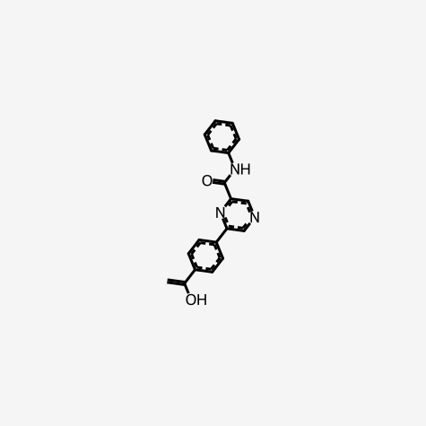 C=C(O)c1ccc(-c2cncc(C(=O)Nc3ccccc3)n2)cc1